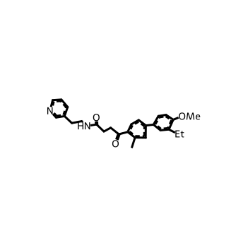 CCc1cc(-c2ccc(C(=O)CCC(=O)NCCc3cccnc3)c(C)c2)ccc1OC